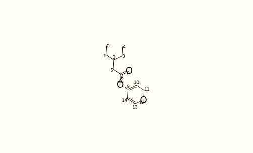 CCC(CC)CC(=O)OC1=CCOC=C1